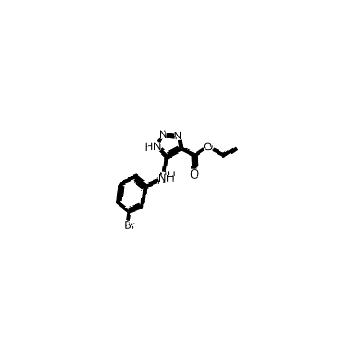 CCOC(=O)c1nn[nH]c1Nc1cccc(Br)c1